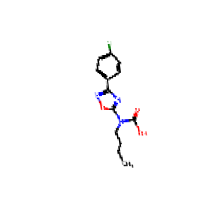 CCCCN(C(=O)O)c1nc(-c2ccc(Cl)cc2)no1